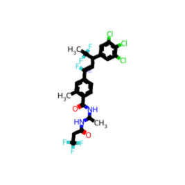 Cc1cc(/C(F)=C/C(c2cc(Cl)c(Cl)c(Cl)c2)C(C)(F)F)ccc1C(=O)NC(C)NC(=O)CC(F)(F)F